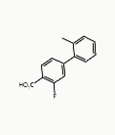 Cc1ccccc1-c1ccc(C(=O)O)c(F)c1